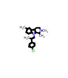 CC(=Cn1c2c(c3cc(C)ccc31)CCN(C)C2C)c1ccc(Cl)cc1